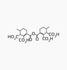 CC1CCC(C(=O)OC(=O)C2=C(C(=O)O)C(C(=O)O)C(C)CC2)=C(C(=O)O)C1C(=O)O